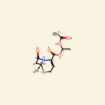 CC(OC(=O)C1=CCS[C@@H]2CC(=O)N12)OC(=O)C(C)(C)C